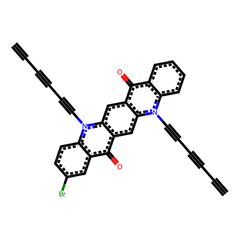 C#CC#CC#Cn1c2ccccc2c(=O)c2cc3c(cc21)c(=O)c1cc(Br)ccc1n3C#CC#CC#C